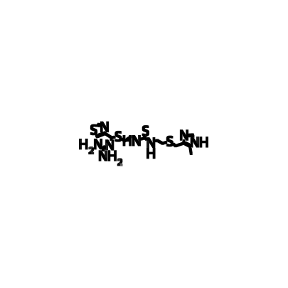 Cc1[nH]cnc1CSCCNC(=S)NCCSC(N=C(N)N)c1cscn1